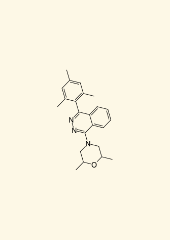 Cc1cc(C)c(-c2nnc(N3CC(C)OC(C)C3)c3ccccc23)c(C)c1